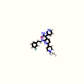 CN1CC=C(c2ccc(C(C(N)=O)c3cccnc3)c(NCCc3cccc(F)c3)n2)CC1